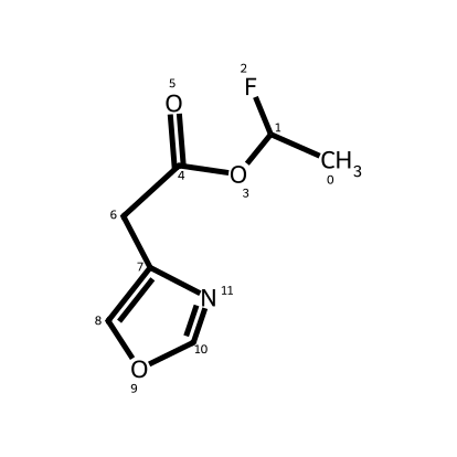 CC(F)OC(=O)Cc1cocn1